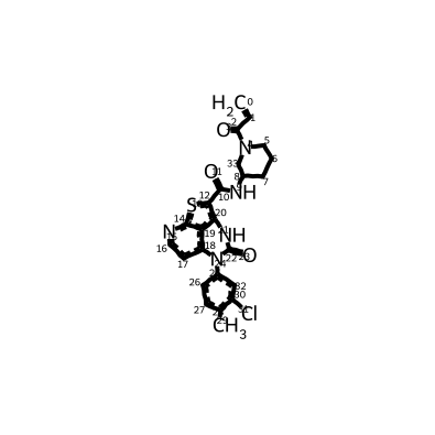 C=CC(=O)N1CCCC(NC(=O)c2sc3nccc4c3c2NC(=O)N4c2ccc(C)c(Cl)c2)C1